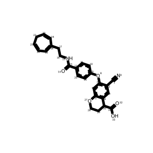 N#Cc1cc2c(cc1Oc1ccc(C(=O)NCCC3=CC=CCC=C3)cc1)OCCC2C(=O)O